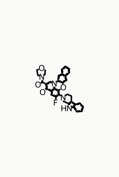 O=C(c1cn2c3c(c(N4CCc5c([nH]c6ccccc56)C4)c(F)cc3c1=O)Oc1cc3ccccc3cc1-2)N1CCOCC1